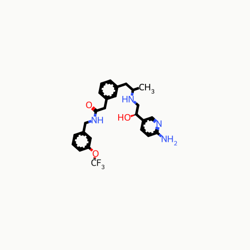 CC(Cc1cccc(CC(=O)NCc2cccc(OC(F)(F)F)c2)c1)NC[C@H](O)c1ccc(N)nc1